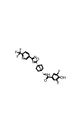 O=C(NC[C@]12CC[C@](c3nc(-c4ccc(C(F)(F)F)nc4)no3)(CC1)CC2)c1cc(F)c(O)c(F)c1